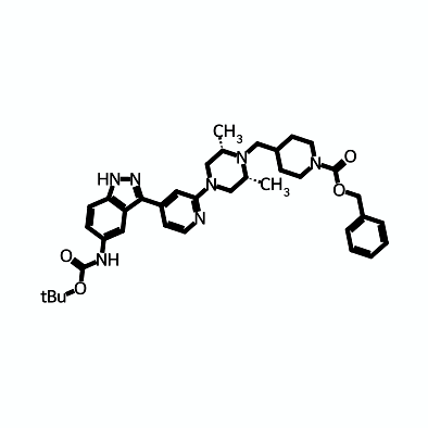 C[C@@H]1CN(c2cc(-c3n[nH]c4ccc(NC(=O)OC(C)(C)C)cc34)ccn2)C[C@H](C)N1CC1CCN(C(=O)OCc2ccccc2)CC1